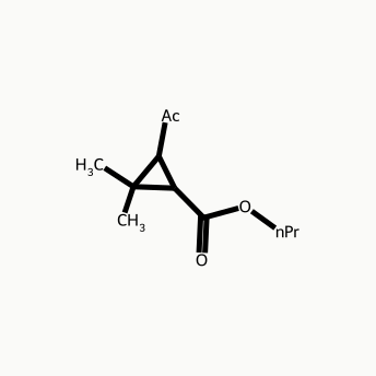 CCCOC(=O)C1C(C(C)=O)C1(C)C